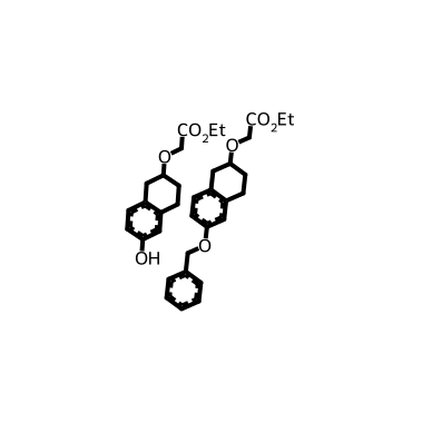 CCOC(=O)COC1CCc2cc(O)ccc2C1.CCOC(=O)COC1CCc2cc(OCc3ccccc3)ccc2C1